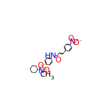 CN(C1CCCCC1)S(=O)(=O)c1ccc(NC(=O)C=Cc2ccc([N+](=O)[O-])cc2)cc1